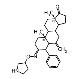 C=C1CC2C(CC[C@]3(C)C(=O)CCC23)[C@@]2(C)CCC(=NOC3CCNC3)C(c3ccccc3)C12